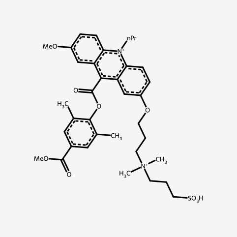 CCC[n+]1c2ccc(OC)cc2c(C(=O)Oc2c(C)cc(C(=O)OC)cc2C)c2cc(OCCC[N+](C)(C)CCCS(=O)(=O)O)ccc21